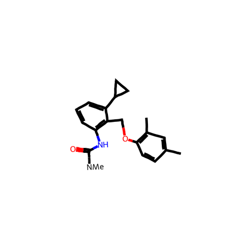 CNC(=O)Nc1cccc(C2CC2)c1COc1ccc(C)cc1C